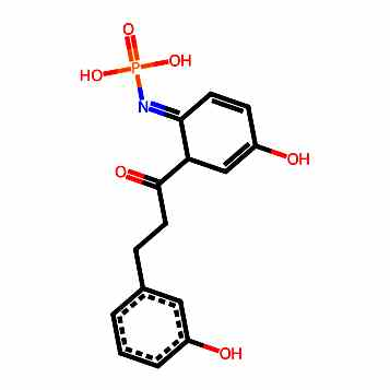 O=C(CCc1cccc(O)c1)C1C=C(O)C=CC1=NP(=O)(O)O